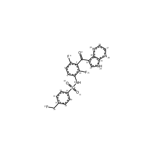 O=C(c1c(F)ccc(NS(=O)(=O)c2ccc(CF)cc2)c1F)c1c[nH]c2nccnc12